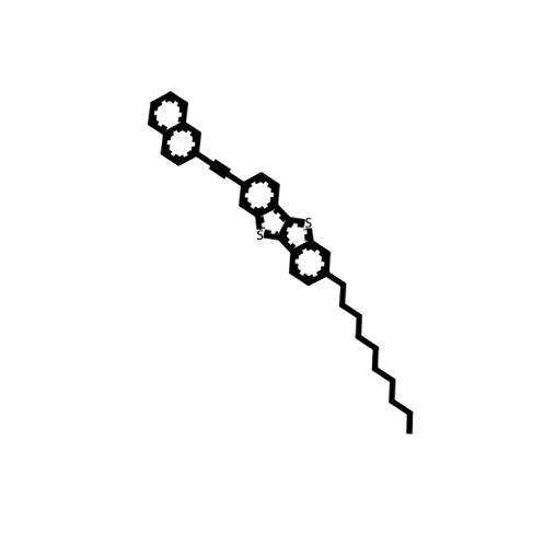 CCCCCCCCCCc1ccc2c(c1)sc1c3ccc(C#Cc4ccc5ccccc5c4)cc3sc21